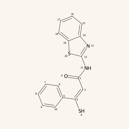 O=C(/C=C(/S)c1ccccc1)Nc1nc2ccccc2s1